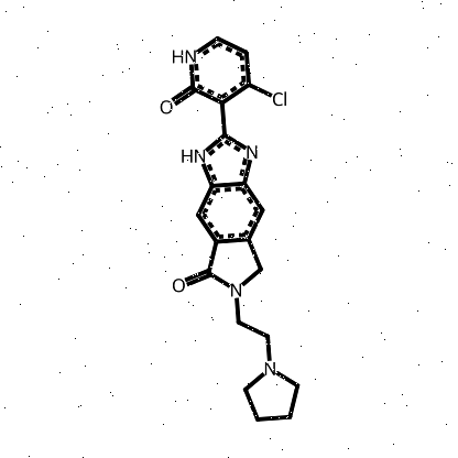 O=C1c2cc3[nH]c(-c4c(Cl)cc[nH]c4=O)nc3cc2CN1CCN1CCCC1